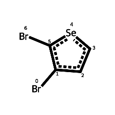 Brc1cc[se]c1Br